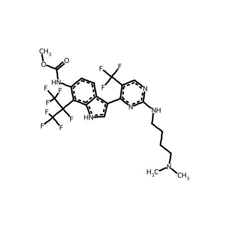 COC(=O)Nc1ccc2c(-c3nc(NCCCCN(C)C)ncc3C(F)(F)F)c[nH]c2c1C(F)(C(F)(F)F)C(F)(F)F